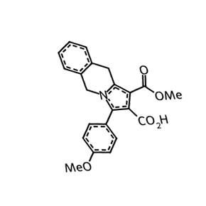 COC(=O)c1c(C(=O)O)c(-c2ccc(OC)cc2)n2c1Cc1ccccc1C2